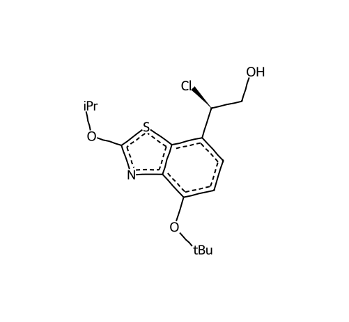 CC(C)Oc1nc2c(OC(C)(C)C)ccc([C@@H](Cl)CO)c2s1